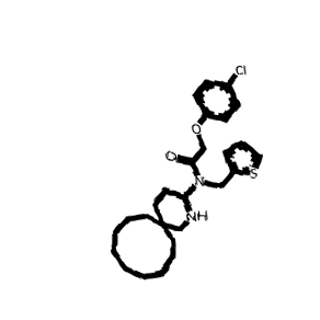 O=C(COc1ccc(Cl)cc1)N(Cc1cccs1)C1CCC2(CCCCCCCCC2)CN1